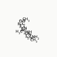 COC(=O)c1cc2nc(-c3cc4ccc([C@@H](C)N)nc4[nH]3)n(C)c2cc1F